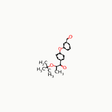 CC(OC(C)(C)C)C(=O)c1ccc(Oc2cccc(C=O)c2)cc1